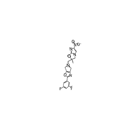 CC1(CN2Cc3nc(-c4cc(F)cc(F)c4)oc3C2)Cn2cc([N+](=O)[O-])nc2O1